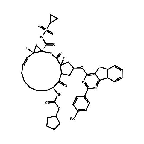 O=C(N[C@H]1CCCCC/C=C\[C@@H]2C[C@@]2(C(=O)NS(=O)(=O)C2CC2)NC(=O)[C@@H]2C[C@@H](Oc3nc(-c4ccc(C(F)(F)F)cc4)nc4c3OC3C=CC=CC43)CC2C1=O)OC1CCCC1